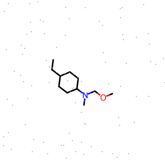 CCC1CCC(N(C)COC)CC1